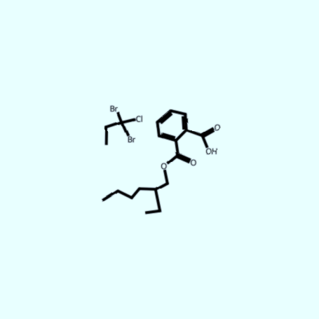 CCC(Cl)(Br)Br.CCCCC(CC)COC(=O)c1ccccc1C(=O)O